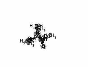 COc1ccc(CC(NC(=O)OCc2ccccc2)C(=O)N2CCN(CC(=O)OC(C)(C)C)C(=O)[C@@H]2CCCCNC(=O)OC(C)(C)C)cc1